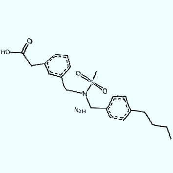 CCCCc1ccc(CN(Cc2cccc(CC(=O)O)c2)S(C)(=O)=O)cc1.[NaH]